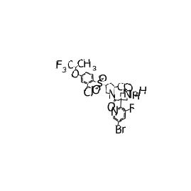 C[C@H](Oc1ccc(S(=O)(=O)[C@@H]2C[C@@H](C(=O)O)N(C(=O)C3(c4ncc(Br)cc4F)CNC3)C2)c(Cl)c1)C(F)(F)F